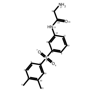 Cc1ccc(S(=O)(=O)c2cccc(NC(=O)CN)c2)cc1C